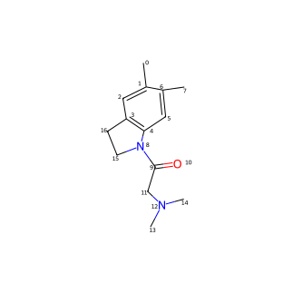 Cc1cc2c(cc1C)N(C(=O)CN(C)C)CC2